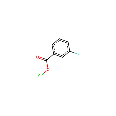 O=C(OCl)c1cccc(F)c1